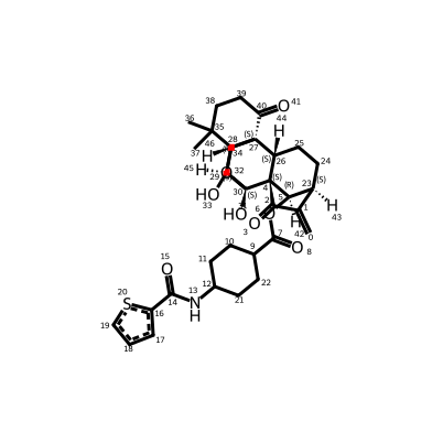 C=C1C(=O)[C@]23[C@H](OC(=O)C4CCC(NC(=O)c5cccs5)CC4)[C@H]1CC[C@H]2[C@@]12CO[C@]3(O)[C@@H](O)[C@@H]1C(C)(C)CCC2=O